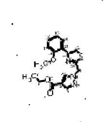 CCOC(=O)c1cnn(Cc2nc(-c3ccccc3OC)cs2)c1